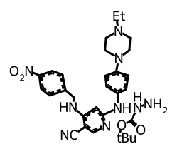 CC(C)(C)OC(=O)NN.CCN1CCN(c2ccc(Nc3cc(NCc4ccc([N+](=O)[O-])cc4)c(C#N)cn3)cc2)CC1